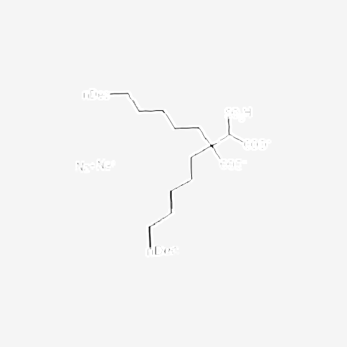 CCCCCCCCCCCCCCCC(CCCCCCCCCCCCCCC)(C(=O)[O-])C(C(=O)[O-])S(=O)(=O)O.[Na+].[Na+]